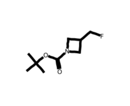 CC(C)(C)OC(=O)N1CC(CF)C1